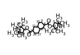 CC1(C)CC(OC(=O)C2CCC3CC(C(=O)OC4CC(C)(C)NC4(C)C)CCC3C2)C(C)(C)N1